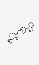 Cn1ccc2c1CCCN(CCN1CCC(C3=NCc4ccccc43)CC1)C2=O